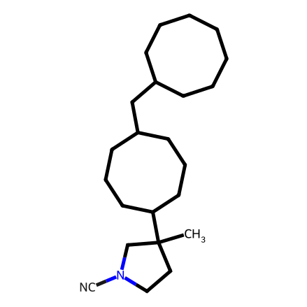 CC1(C2CCCC(CC3CCCCCCC3)CCC2)CCN(C#N)C1